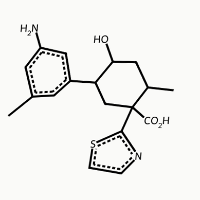 Cc1cc(N)cc(C2CC(C(=O)O)(c3nccs3)C(C)CC2O)c1